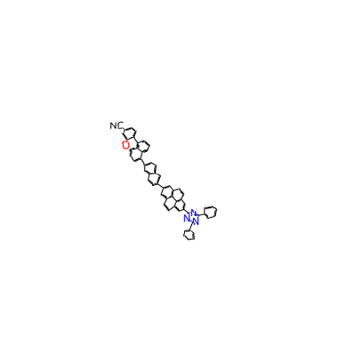 N#Cc1ccc2c(c1)Oc1ccc(-c3ccc4cc(-c5cc6ccc7cc(-c8nc(-c9ccccc9)nc(-c9ccccc9)n8)cc8ccc(c5)c6c78)ccc4c3)c3cccc-2c13